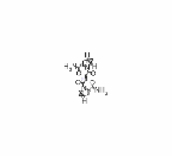 NC(=O)[C@@H]1C[C@@H]2C[C@@H]2N1C(=O)/C=C/C(=O)N1[C@H](C(N)=O)C[C@@H]2C[C@@H]21